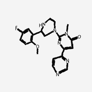 COc1ccc(F)cc1C1CN(c2nc(-c3ccncn3)cc(=O)n2C)CCN1